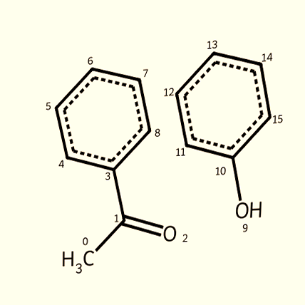 CC(=O)c1ccccc1.Oc1ccccc1